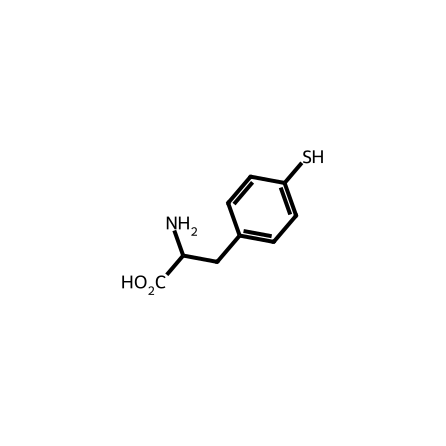 NC(Cc1ccc(S)cc1)C(=O)O